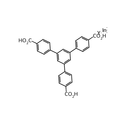 O=C(O)c1ccc(-c2cc(-c3ccc(C(=O)O)cc3)cc(-c3ccc(C(=O)O)cc3)c2)cc1.[In].[Y]